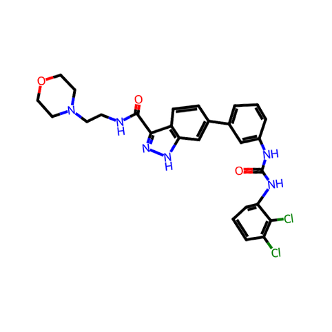 O=C(Nc1cccc(-c2ccc3c(C(=O)NCCN4CCOCC4)n[nH]c3c2)c1)Nc1cccc(Cl)c1Cl